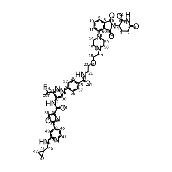 O=C1CCC(N2C(=O)c3cccc(N4CCN(CCOCCNC(=O)c5ccc(-n6cc(NC(=O)c7coc(-c8ccnc(NCC9CC9)c8)n7)c(C(F)F)n6)cc5)CC4)c3C2=O)C(=O)N1